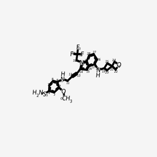 COc1cc(SN)ccc1NCC#Cc1cc2c(NC3CC4(COC4)C3)cccc2n1CC(F)(F)F